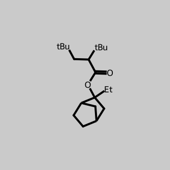 CCC1(OC(=O)C(CC(C)(C)C)C(C)(C)C)CC2CCC1C2